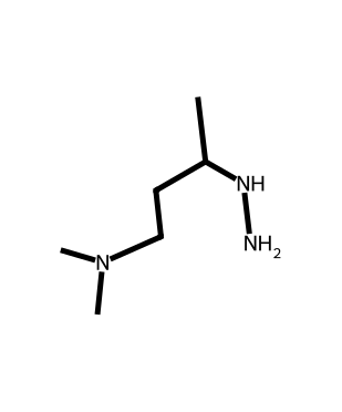 CC(CCN(C)C)NN